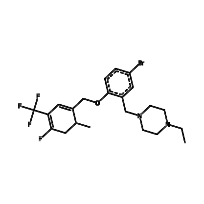 CCN1CCN(Cc2cc(Br)ccc2OCC2=CC(C(F)(F)F)=C(F)CC2C)CC1